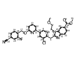 COCCn1c(Cc2ncc(-c3cccc(OCc4ccc(C#N)cc4F)n3)cc2Cl)nc2ccc(C(=O)OC)cc21